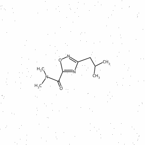 CC(C)Cc1noc(C(=O)N(C)C)n1